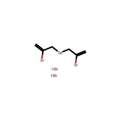 Br.Br.C=C(Br)C[Te]CC(=C)Br